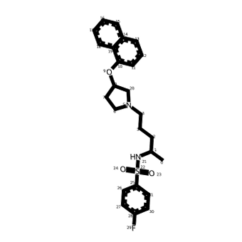 CC(CCCN1CCC(Oc2cccc3ccccc23)C1)NS(=O)(=O)c1ccc(F)cc1